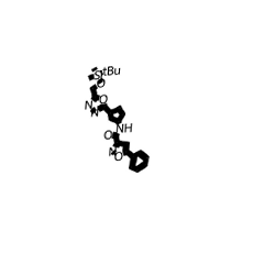 CC(C)(C)[Si](C)(C)OCc1nnc(C2CCC(NC(=O)c3cc(-c4ccccc4)on3)C2)o1